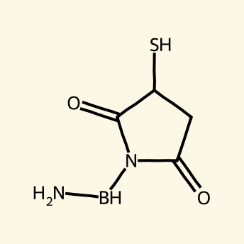 NBN1C(=O)CC(S)C1=O